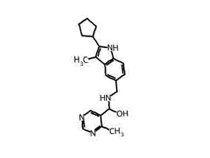 Cc1ncncc1C(O)NCc1ccc2[nH]c(C3CCCC3)c(C)c2c1